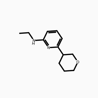 CCNc1cccc(C2CCCOC2)n1